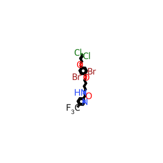 O=C(NCCCCOc1c(Br)cc(OCC=C(Cl)Cl)cc1Br)c1ccc(C(F)(F)F)cn1